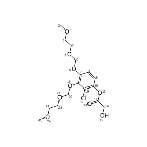 COCCOCOc1ccc(OC(=O)CO)c(Cl)c1OCOCCOC